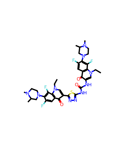 CCn1cc(NC(=O)Nc2nnc(-c3cn(CC)c4c(F)c(N5CCN(C)C(C)C5)c(F)cc4c3=O)s2)c(=O)c2cc(F)c(N3CCN(C)C(C)C3)c(F)c21